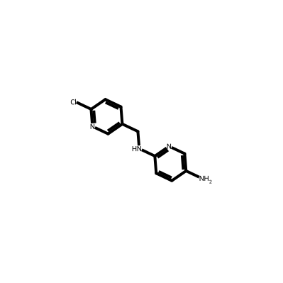 Nc1ccc(NCc2ccc(Cl)nc2)nc1